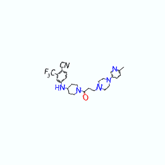 Cc1ccc(N2CCN(CCC(=O)N3CCC(Nc4ccc(C#N)c(C(F)(F)F)c4)CC3)CC2)cn1